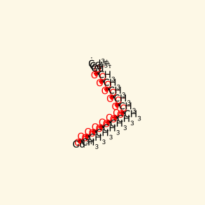 CC(=O)[O-].CC(=O)[O-].CC(=O)[O-].CC(=O)[O-].CC(=O)[O-].CC(=O)[O-].CC(=O)[O-].CC(=O)[O-].CC(=O)[O-].CC(=O)[O-].CC(=O)[O-].CC(=O)[O-].[Gd+3].[Gd+3].[Gd+3].[Gd+3]